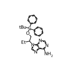 CCC(CO[Si](c1ccccc1)(c1ccccc1)C(C)(C)C)n1cnc2c(N)ncnc21